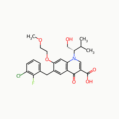 COCCOc1cc2c(cc1Cc1cccc(Cl)c1F)c(=O)c(C(=O)O)cn2[C@H](CO)C(C)C